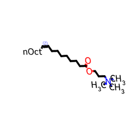 CCCCCCCC/C=C\CCCCCCCC(=O)OCCC[N+](C)(C)C